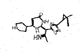 CC(=N)/C(=C1/NC(=O)C=C(C2CCNCC2)N1)c1nc(C2CC2(C)C)no1